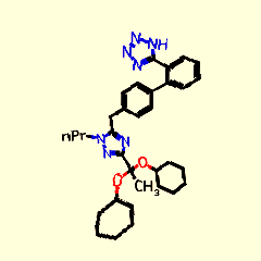 CCCn1nc(C(C)(OC2CCCCC2)OC2CCCCC2)nc1Cc1ccc(-c2ccccc2-c2nnn[nH]2)cc1